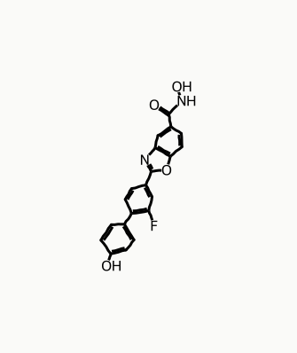 O=C(NO)c1ccc2oc(-c3ccc(-c4ccc(O)cc4)c(F)c3)nc2c1